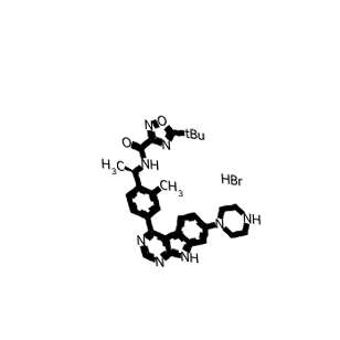 Br.Cc1cc(-c2ncnc3[nH]c4cc(N5CCNCC5)ccc4c23)ccc1[C@@H](C)NC(=O)c1noc(C(C)(C)C)n1